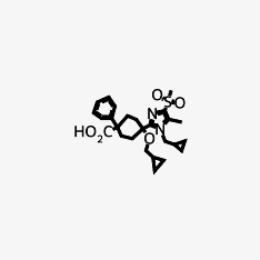 Cc1c(S(C)(=O)=O)nc(C2(OCC3CC3)CCC(C(=O)O)(c3ccccc3)CC2)n1CC1CC1